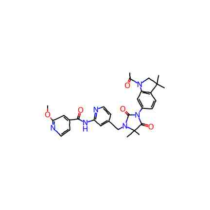 COc1cc(C(=O)Nc2cc(CN3C(=O)N(c4ccc5c(c4)N(C(C)=O)CC5(C)C)C(=O)C3(C)C)ccn2)ccn1